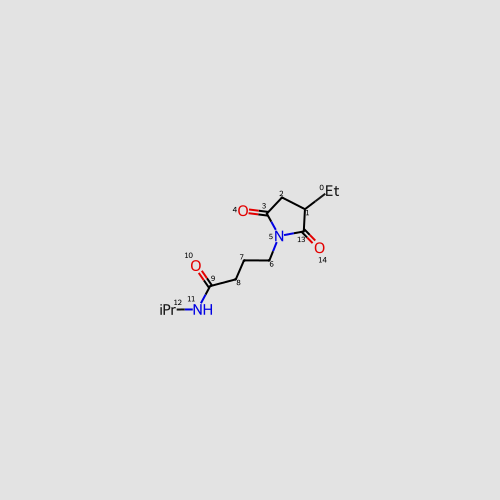 CCC1CC(=O)N(CCCC(=O)NC(C)C)C1=O